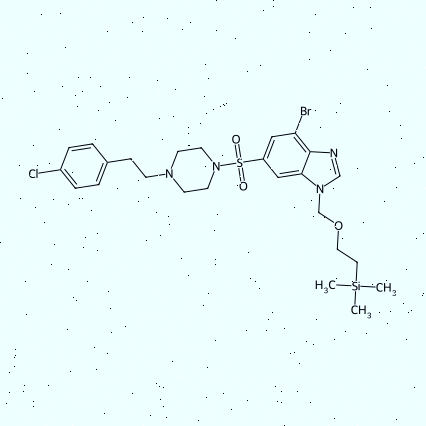 C[Si](C)(C)CCOCn1cnc2c(Br)cc(S(=O)(=O)N3CCN(CCc4ccc(Cl)cc4)CC3)cc21